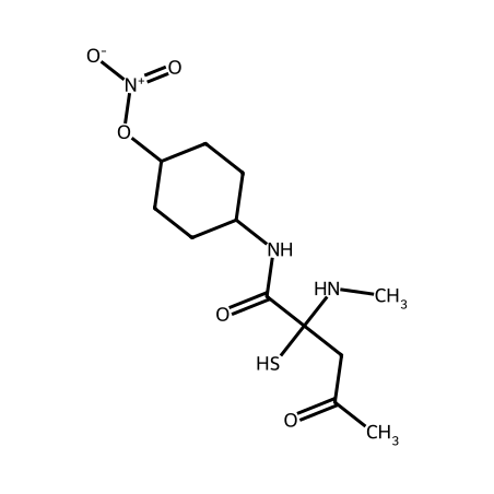 CNC(S)(CC(C)=O)C(=O)NC1CCC(O[N+](=O)[O-])CC1